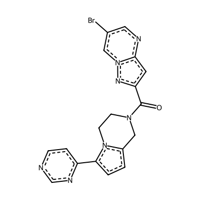 O=C(c1cc2ncc(Br)cn2n1)N1CCn2c(ccc2-c2ccncn2)C1